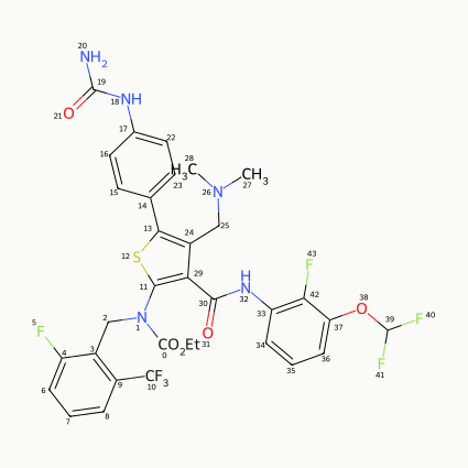 CCOC(=O)N(Cc1c(F)cccc1C(F)(F)F)c1sc(-c2ccc(NC(N)=O)cc2)c(CN(C)C)c1C(=O)Nc1cccc(OC(F)F)c1F